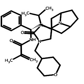 C=C(C)C(=O)N[C@@H](CCN1C2CCC1CC1(C2)CN(CC2CCOCC2)C(=O)N1C(C)C)c1ccccc1